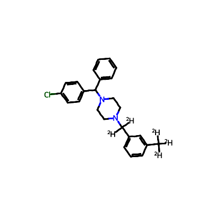 [2H]C([2H])([2H])c1cccc(C([2H])([2H])N2CCN(C(c3ccccc3)c3ccc(Cl)cc3)CC2)c1